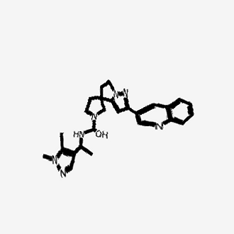 Cc1c(C(C)NC(O)N2CCC3(CCn4nc(-c5cnc6ccccc6c5)cc43)C2)cnn1C